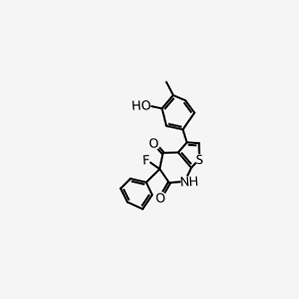 Cc1ccc(-c2csc3c2C(=O)C(F)(c2ccccc2)C(=O)N3)cc1O